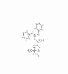 CC1(C)OCC(C(O)CN(Cc2ccccc2)Cc2ccccc2)O1